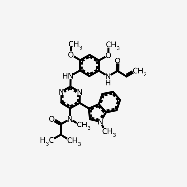 C=CC(=O)Nc1cc(Nc2ncc(N(C)C(=O)C(C)C)c(-c3cn(C)c4ccccc34)n2)c(OC)cc1OC